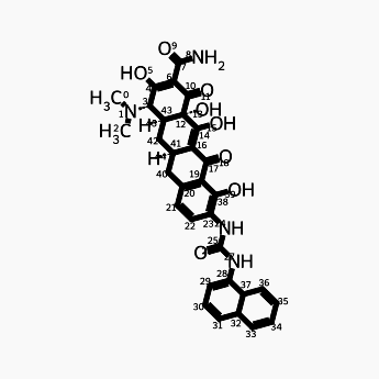 CN(C)[C@@H]1C(O)=C(C(N)=O)C(=O)[C@@]2(O)C(O)=C3C(=O)c4c(ccc(NC(=O)NC5=CC=CC6C=CC=CC56)c4O)C[C@H]3C[C@@H]12